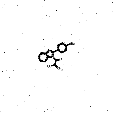 C=C(C)C(=O)n1c(-c2ccc(C(C)(C)C)cc2)nc2ccccc21